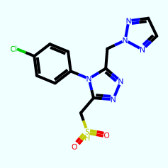 O=[SH](=O)Cc1nnc(Cn2nccn2)n1-c1ccc(Cl)cc1